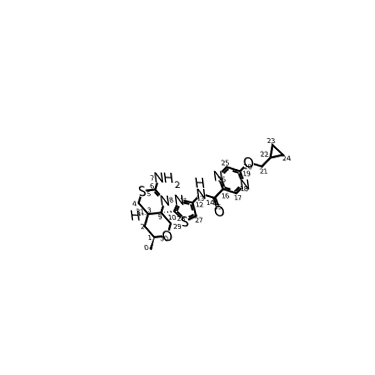 C[C@H]1C[C@H]2CSC(N)=N[C@@]2(c2nc(NC(=O)c3cnc(OCC4CC4)cn3)cs2)CO1